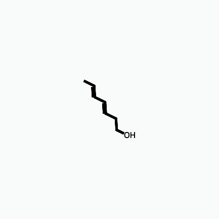 C/C=C/C=C/CCO